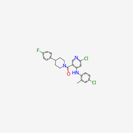 Cc1cc(Cl)ccc1Nc1cc(Cl)ncc1C(=O)N1CCC(c2ccc(F)cc2)CC1